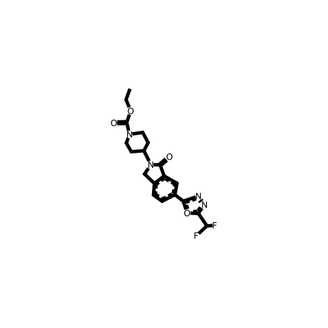 CCOC(=O)N1CCC(N2Cc3ccc(-c4nnc(C(F)F)o4)cc3C2=O)CC1